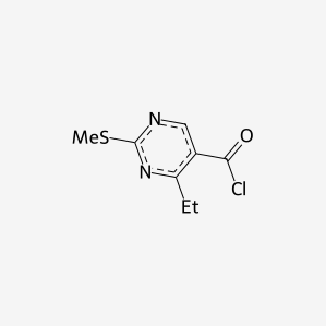 CCc1nc(SC)ncc1C(=O)Cl